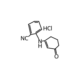 Cl.N#Cc1ccccc1NC1=CC(=O)CCC1